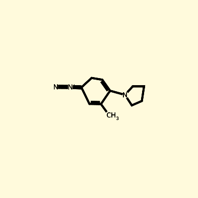 CC1=CC(=[N+]=[N-])CC=C1N1CCCC1